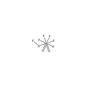 [O]=[Nb](=[O])([F])([F])([F])([F])([F])[O]F